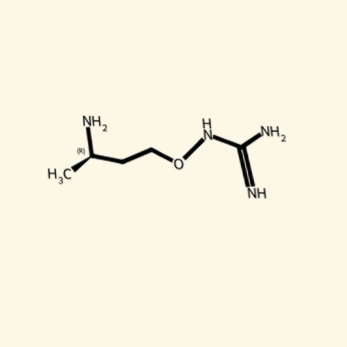 C[C@@H](N)CCONC(=N)N